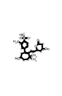 CCCCS(=O)(=O)c1ccc(C2=C(C=CC3CC(O)CC(=O)O3)C(C)(C)CCC(O)C2)cc1C